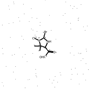 CC1(C)C(C(=O)C=O)NC(Br)N1Cl